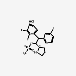 CS(=O)(=O)OC(C(c1cccc(F)c1)c1cccc(F)c1F)[C@H]1CCCN1.Cl